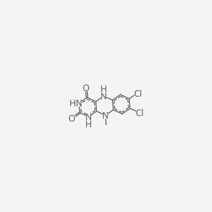 CN1c2cc(Cl)c(Cl)cc2Nc2c1[nH]c(=O)[nH]c2=O